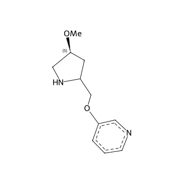 CO[C@@H]1CNC(COc2cccnc2)C1